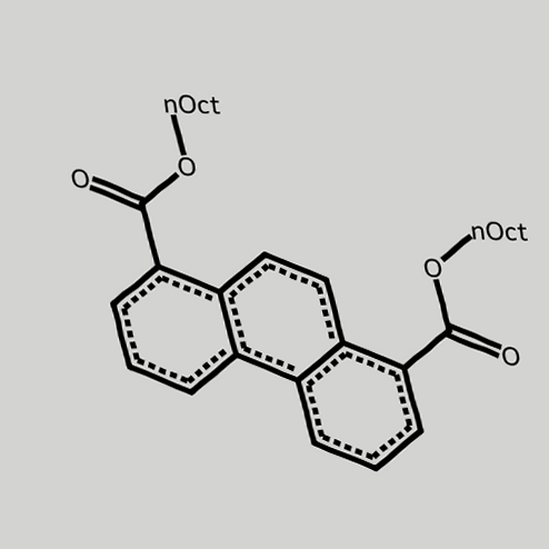 CCCCCCCCOC(=O)c1cccc2c1ccc1c(C(=O)OCCCCCCCC)cccc12